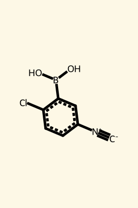 [C-]#[N+]c1ccc(Cl)c(B(O)O)c1